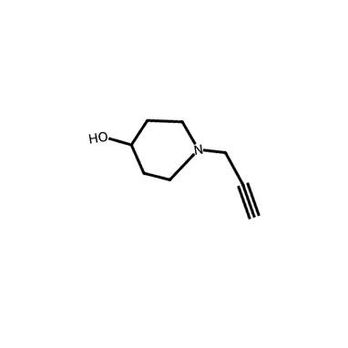 C#CCN1CCC(O)CC1